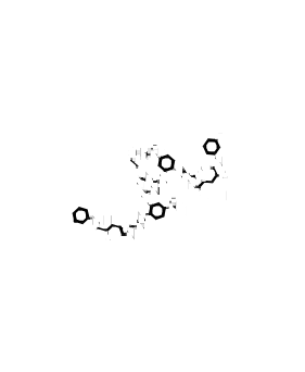 CCN(CC)c1ccc(/N=N/c2ncc(/C=C(\C(C)=O)C(=O)Nc3cccc(F)c3)s2)c(Nc2nc(Nc3cc(N(CC)CC)ccc3/N=N/c3nc(S(=O)(=O)O)c(/C=C(/C(C)=O)C(=O)Nc4cccc(F)c4)s3)nc(SCCO)n2)c1